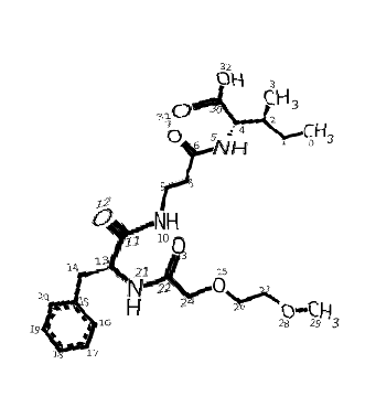 CC[C@H](C)[C@H](NC(=O)CCNC(=O)[C@H](Cc1ccccc1)NC(=O)COCCOC)C(=O)O